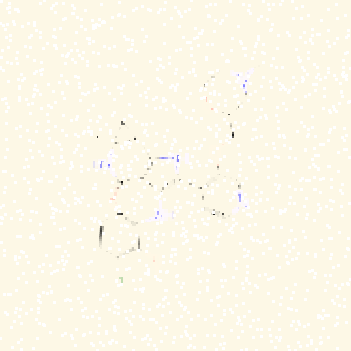 COc1c(Cl)cccc1Nc1c(-c2ccncc2OC[C@@H]2CN(C)CCO2)[nH]c2c1C(=O)N[C@H]1C[C@@H]21